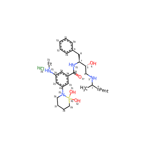 CCCCCC(C)NC[C@@H](O)[C@H](Cc1ccccc1)NC(=O)c1cc(NCC)cc(N2CCCCS2(O)O)c1.Cl